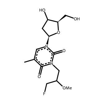 COC(CF)Cn1c(=O)c(C)cn([C@H]2CC(O)[C@@H](CO)O2)c1=O